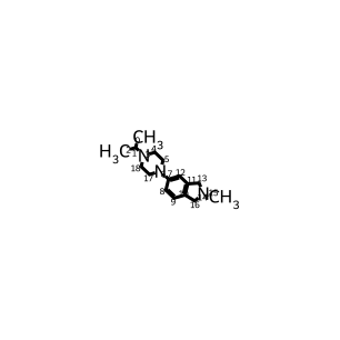 CC(C)N1CCN(c2ccc3c(c2)CN(C)C3)CC1